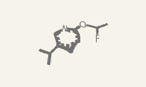 CC(F)Oc1ccc(C(C)C)cn1